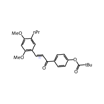 CCCc1cc(/C=C/C(=O)c2ccc(OC(=O)C(C)(C)C)cc2)c(OC)cc1OC